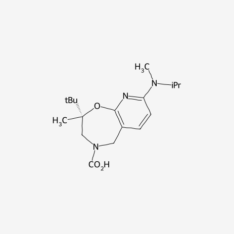 CC(C)N(C)c1ccc2c(n1)O[C@@](C)(C(C)(C)C)CN(C(=O)O)C2